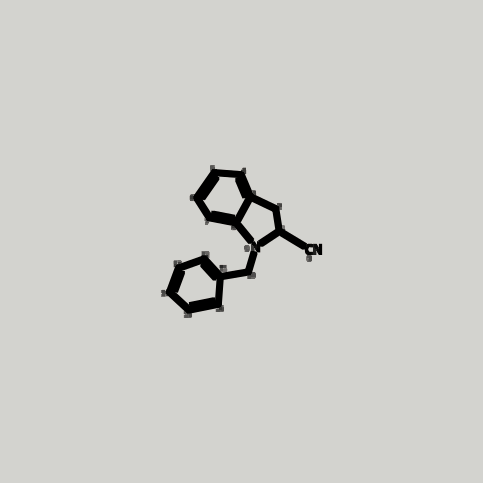 N#CC1Cc2ccccc2N1Cc1ccccc1